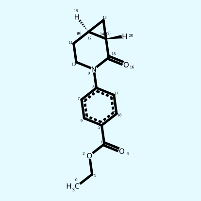 CCOC(=O)c1ccc(N2CC[C@H]3C[C@@H]3C2=O)cc1